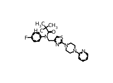 CC(C)(C)C(=O)N(Cc1csc(N2CCN(c3ccccn3)CC2)n1)c1ccc(F)cc1